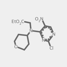 CCOC(=O)CN(c1nc(Cl)ncc1[N+](=O)[O-])C1CCOCC1